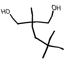 CC(C)(C)CC(C)(CO)CO